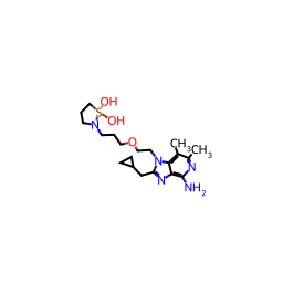 Cc1nc(N)c2nc(CC3CC3)n(CCOCCCN3CCCS3(O)O)c2c1C